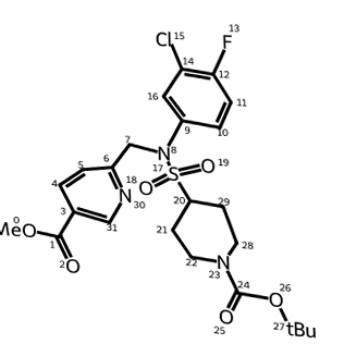 COC(=O)c1ccc(CN(c2ccc(F)c(Cl)c2)S(=O)(=O)C2CCN(C(=O)OC(C)(C)C)CC2)nc1